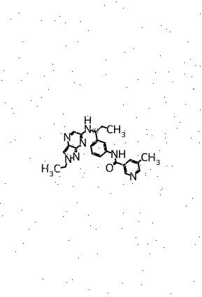 CC[C@H](Nc1cnc2cn(CC)nc2n1)c1cccc(NC(=O)c2cncc(C)c2)c1